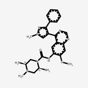 COc1cc2ncnc(-c3cn(C)nc3-c3ccccc3)c2cc1NC(=O)N1C[C@H](N)N(C)C[C@@H]1N